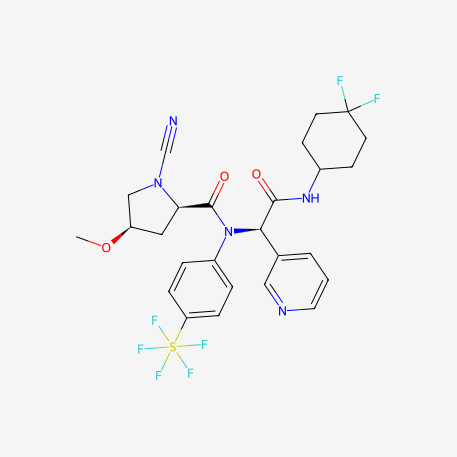 CO[C@@H]1C[C@H](C(=O)N(c2ccc(S(F)(F)(F)(F)F)cc2)[C@@H](C(=O)NC2CCC(F)(F)CC2)c2cccnc2)N(C#N)C1